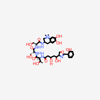 C[C@@H](O)[C@H](NC(=O)CC(O)CC(O)C1COC(c2ccccc2O)=N1)C(=O)N[C@H](CO)C(=O)N[C@@H](CO)C(=O)NC1Cc2cc(O)c(O)cc2[N+](C)(C)C1